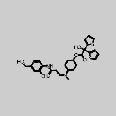 CN(CCC(=O)Nc1ccc(CO)cc1Cl)C1CCC(OC(=O)C(O)(c2cccs2)c2cccs2)CC1